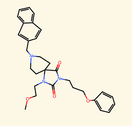 COCCN1C(=O)N(CCCOc2ccccc2)C(=O)C12CCN(Cc1ccc3ccccc3c1)CC2